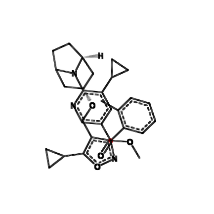 COC(=O)c1cnc(N2C3CC[C@H]2C[C@H](OCc2c(-c4ccccc4C)noc2C2CC2)C3)c(C2CC2)c1